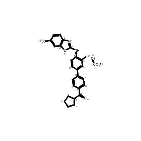 Cc1ccc2nc(Nc3ccc(-c4ccc(C(=O)C5CCCC5)cc4)cc3F)oc2c1.O=C(O)O